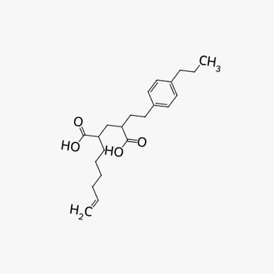 C=CCCCCC(CC(CCc1ccc(CCC)cc1)C(=O)O)C(=O)O